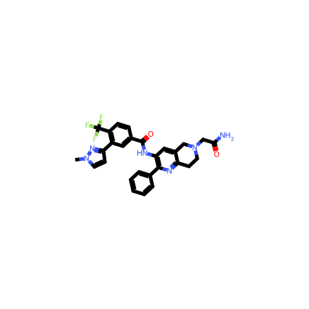 Cn1ccc(-c2cc(C(=O)Nc3cc4c(nc3-c3ccccc3)CCN(CC(N)=O)C4)ccc2C(F)(F)F)n1